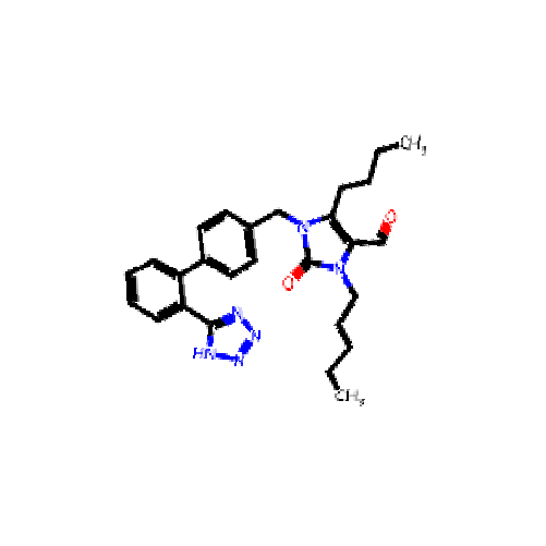 CCCCCn1c(C=O)c(CCCC)n(Cc2ccc(-c3ccccc3-c3nnn[nH]3)cc2)c1=O